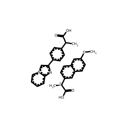 CC(C(=O)O)c1ccc(-c2cn3ccccc3n2)cc1.COc1ccc2cc([C@H](C)C(=O)O)ccc2c1